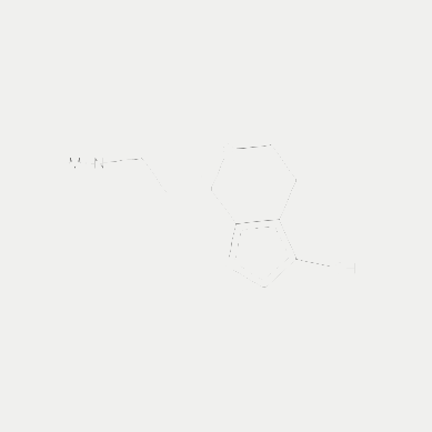 CNCC[C@@H]1OCCc2c(C)csc21